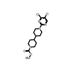 CC(C)(C)OC(=O)N1CCC(C2CCN(c3ncc(Cl)c(Cl)n3)CC2)CC1